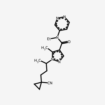 CCN(C(=O)c1cnn(C(C)CCC2(C#N)CC2)c1C)c1ccnnc1